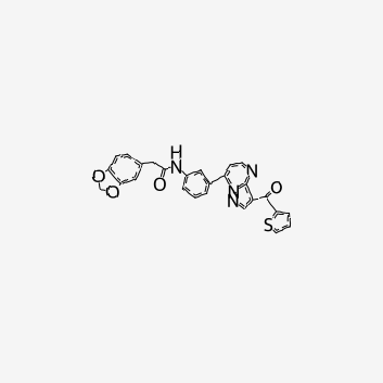 O=C(Cc1ccc2c(c1)OCO2)Nc1cccc(-c2ccnc3c(C(=O)c4cccs4)cnn23)c1